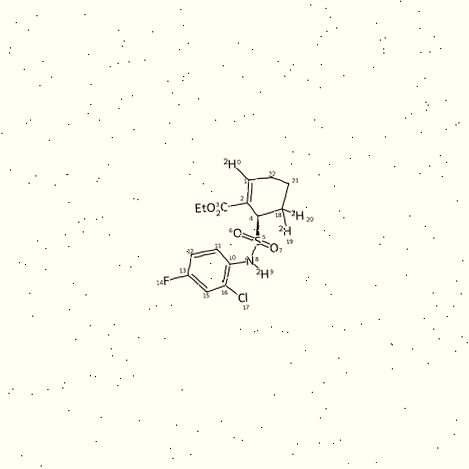 [2H]C1=C(C(=O)OCC)[C@H](S(=O)(=O)N([2H])c2ccc(F)cc2Cl)C([2H])([2H])CC1